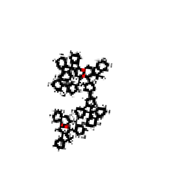 CC1(C)c2ccccc2-c2cccc(-c3ccccc3N(c3ccc4c(c3)C(c3ccccc3)(c3ccccc3)c3ccc(-c5ccc(-c6cccc7c6C(C)(C)c6ccccc6-7)c(N(c6ccc7c(c6)C(c6ccccc6)(c6ccccc6)c6ccccc6-7)c6ccc7sc8ccccc8c7c6)c5)cc3-4)c3ccc4ccccc4c3)c21